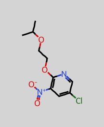 CC(C)OCCOc1ncc(Cl)cc1[N+](=O)[O-]